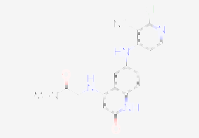 CNC(=O)CNc1cc(=O)[nH]c2ccc(Nc3ccnc(Cl)c3C#N)cc12